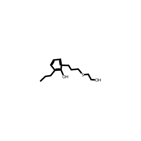 CCCc1cccc(CCCSCCO)c1O